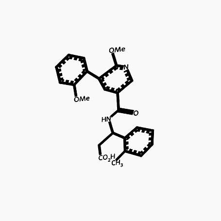 COc1ccccc1-c1cc(C(=O)NC(CC(=O)O)c2ccccc2C)cnc1OC